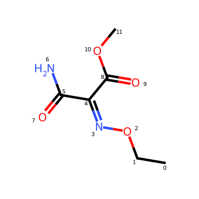 CCON=C(C(N)=O)C(=O)OC